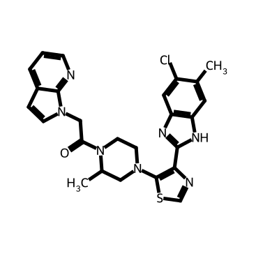 Cc1cc2[nH]c(-c3ncsc3N3CCN(C(=O)Cn4ccc5cccnc54)C(C)C3)nc2cc1Cl